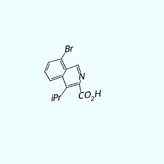 CC(C)c1c(C(=O)O)ncc2c(Br)cccc12